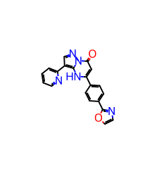 O=c1cc(-c2ccc(-c3ncco3)cc2)[nH]c2c(-c3ccccn3)cnn12